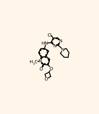 Cn1c(=O)c(OC2COC2)cc2cc(Nc3nc(N4CCCCC4)ncc3Cl)ccc21